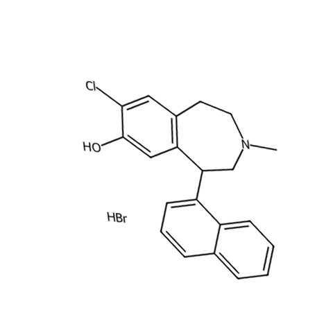 Br.CN1CCc2cc(Cl)c(O)cc2C(c2cccc3ccccc23)C1